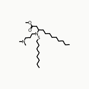 CCCCCCCCCC(CC(=O)OC)N(CCCN(C)C)SCCCCCCCC